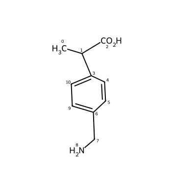 CC(C(=O)O)c1ccc(CN)cc1